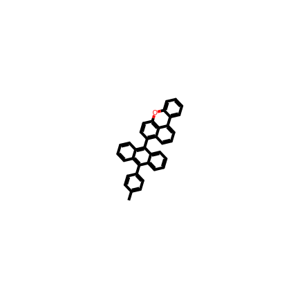 Cc1ccc(-c2c3ccccc3c(-c3ccc4c5c(cccc35)-c3ccccc3O4)c3ccccc23)cc1